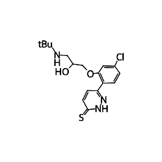 CC(C)(C)NCC(O)COc1cc(Cl)ccc1-c1ccc(=S)[nH]n1